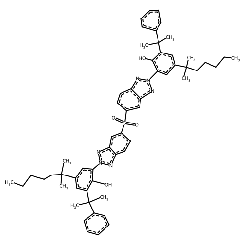 CCCCCC(C)(C)c1cc(-n2nc3ccc(S(=O)(=O)c4ccc5nn(-c6cc(C(C)(C)CCCCC)cc(C(C)(C)c7ccccc7)c6O)nc5c4)cc3n2)c(O)c(C(C)(C)c2ccccc2)c1